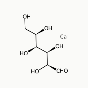 O=C[C@@H](O)[C@H](O)[C@@H](O)[C@H](O)CO.[Ca]